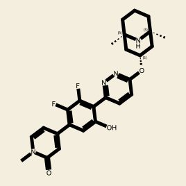 Cn1ccc(-c2cc(O)c(-c3ccc(O[C@H]4C[C@]5(C)CCC[C@](C)(C4)N5)nn3)c(F)c2F)cc1=O